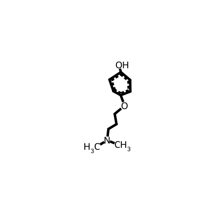 CN(C)CCCOc1ccc(O)cc1